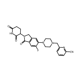 N#Cc1cccc(CN2CCN(c3cc4c(cc3F)C(=O)N(C3CCC(=O)NC3=O)C4)CC2)n1